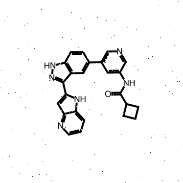 O=C(Nc1cncc(-c2ccc3[nH]nc(-c4cc5ncccc5[nH]4)c3c2)c1)C1CCC1